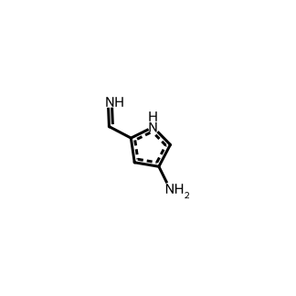 N=Cc1cc(N)c[nH]1